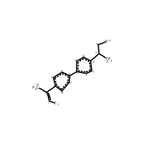 F/C=C(\c1ccc(-c2ccc(C(CF)C(F)(F)F)cc2)cc1)C(F)(F)F